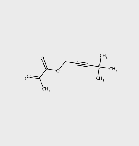 C=C(C)C(=O)OCC#CS(C)(C)C